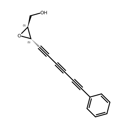 OC[C@@H]1O[C@H]1C#CC#CC#Cc1ccccc1